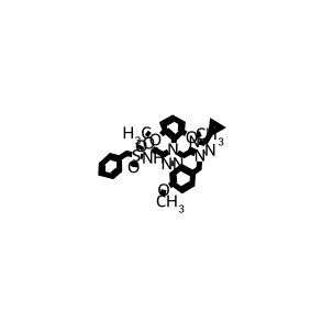 COc1ccc(Cn2nc(C3CC3)nc2-c2nnc(C(=O)NS(=O)(=O)Cc3ccccc3)n2-c2c(OC)cccc2OC)cc1